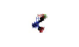 COc1ccc(CNc2nc(NCCCc3ccc(C(O)C(F)(F)F)cc3)nc3ncccc23)cc1OC